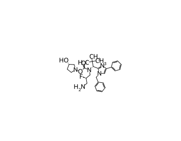 CC(C)(C)[C@H](c1nc(-c2ccccc2)cn1Cc1ccccc1)N(C[C@H](F)CN)C(=O)ON1CC[C@H](O)C1